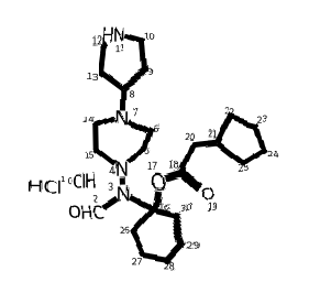 Cl.Cl.O=CN(N1CCN(C2CCNCC2)CC1)C1(OC(=O)CC2CCCC2)CCCCC1